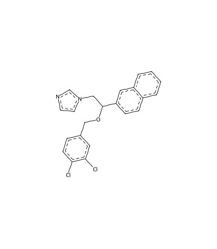 Clc1ccc(COC(Cn2ccnc2)c2ccc3ccccc3c2)cc1Cl